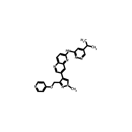 CC(C)c1cnnc(Nc2ccc3ncc(-c4cn(C)nc4COc4ccncc4)cc3n2)c1